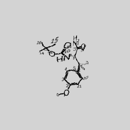 COc1ccc([C@@H](C)[C@H](NC(=O)OC(C)(C)C)C(N)=O)cc1